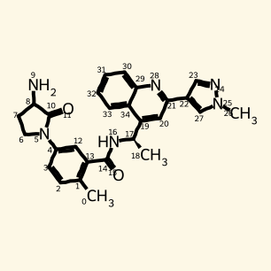 Cc1ccc(N2CCC(N)C2=O)cc1C(=O)N[C@H](C)c1cc(-c2cnn(C)c2)nc2ccccc12